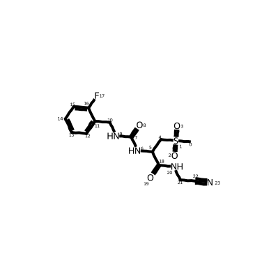 CS(=O)(=O)CC(NC(=O)NCc1ccccc1F)C(=O)NCC#N